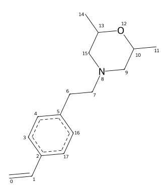 C=Cc1ccc(CCN2CC(C)OC(C)C2)cc1